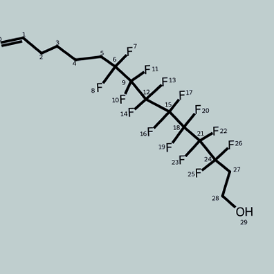 C=CCCCCC(F)(F)C(F)(F)C(F)(F)C(F)(F)C(F)(F)C(F)(F)C(F)(F)CCO